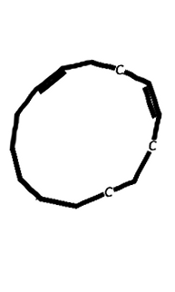 [CH]1CCCC=CCCC=CCCCC1